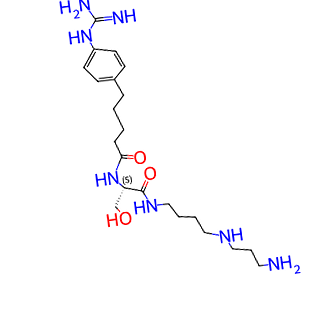 N=C(N)Nc1ccc(CCCCC(=O)N[C@@H](CO)C(=O)NCCCCNCCCN)cc1